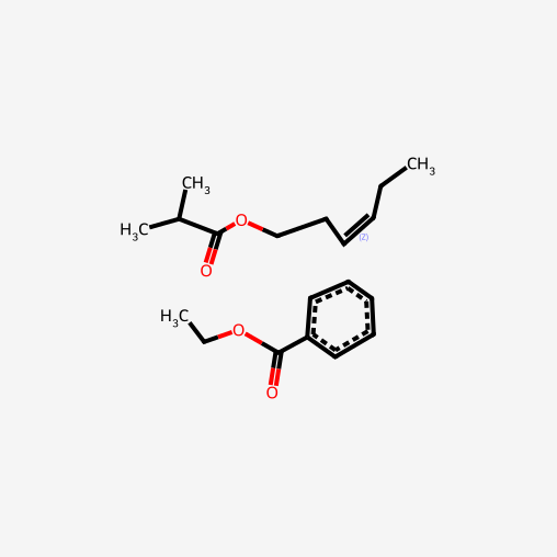 CC/C=C\CCOC(=O)C(C)C.CCOC(=O)c1ccccc1